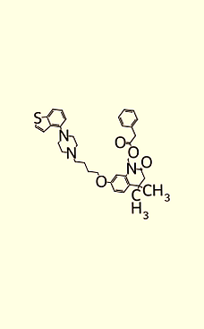 CC1(C)CC(=O)N(COC(=O)Cc2ccccc2)c2cc(OCCCCN3CCN(c4cccc5sccc45)CC3)ccc21